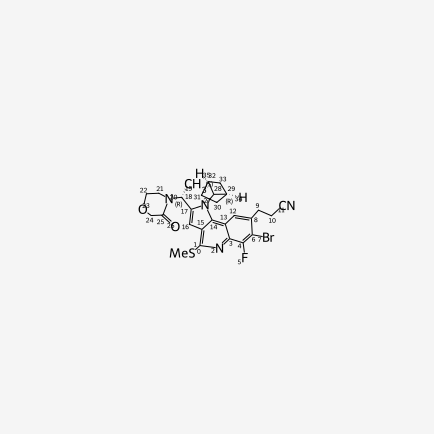 CSc1nc2c(F)c(Br)c(CCC#N)cc2c2c1cc([C@@H](C)N1CCOCC1=O)n2C1[C@@H]2CC[C@H]1C2